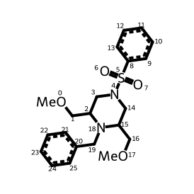 COCC1CN(S(=O)(=O)c2ccccc2)CC(COC)N1Cc1ccccc1